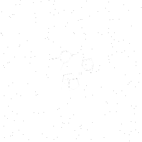 Clc1ccc(Oc2ccccc2)cc1C[C@@H]1C[C@H]2CC[C@@H](C1)N2